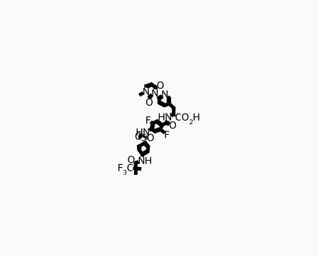 Cn1ccc(=O)n(-c2ccc(C[C@H](NC(=O)c3cc(F)c(NS(=O)(=O)c4ccc(NC(=O)C(C)(C)C(F)(F)F)cc4)cc3F)C(=O)O)cn2)c1=O